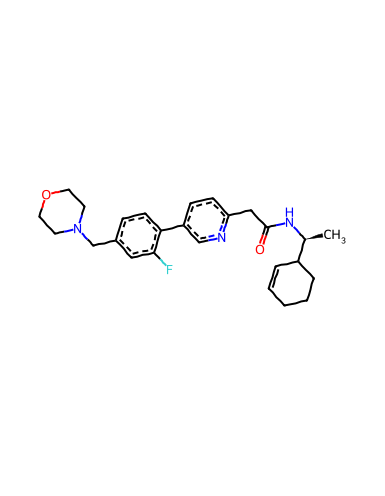 C[C@H](NC(=O)Cc1ccc(-c2ccc(CN3CCOCC3)cc2F)cn1)C1C=CCCC1